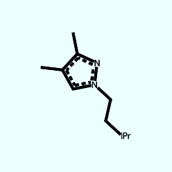 Cc1cn(CCC(C)C)nc1C